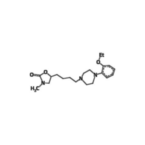 CCOc1ccccc1N1CCN(CCCCC2CN(C)C(=O)O2)CC1